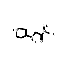 CN(C)C(=O)CN(C)C1CCNCC1